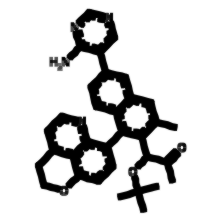 CC(=O)C(OC(C)(C)C)c1c(C)cc2cc(-c3cncnc3N)ccc2c1-c1ccc2c3c(ccnc13)CCO2